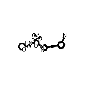 C[C@@](CCn1cc(C#Cc2cccc(C#N)c2)cn1)(C(=O)NOC1CCCCO1)S(C)(=O)=O